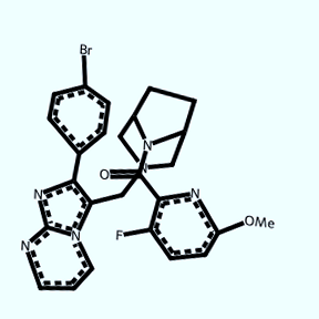 COc1ccc(F)c(C(=O)N2C3CCC2CN(Cc2c(-c4ccc(Br)cc4)nc4ncccn24)C3)n1